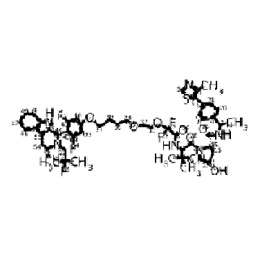 Cc1ncsc1-c1ccc(C(C)NC(=O)[C@@H]2C[C@@H](O)CN2C(=O)C(NC(=O)C(F)(F)OCCOCCCCOc2cc(F)c([C@@H]3c4[nH]c5ccccc5c4C[C@@H](C)N3CC(C)(C)F)c(F)c2)C(C)(C)C)cc1